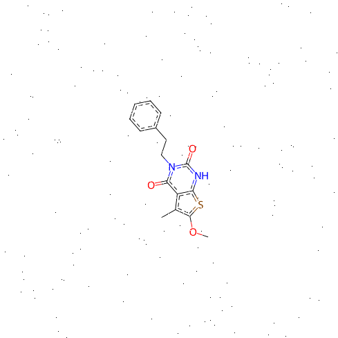 COc1sc2[nH]c(=O)n(CCc3ccccc3)c(=O)c2c1C